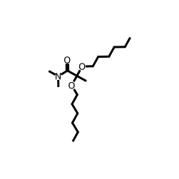 CCCCCCOC(C)(OCCCCCC)C(=O)N(C)C